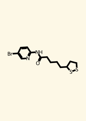 O=C(CCCCC1CCSS1)Nc1ccc(Br)cn1